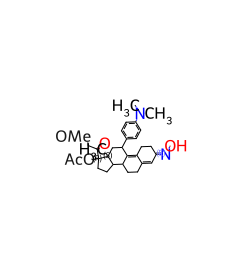 COCC(=O)[C@@]1(OC(C)=O)CCC2C3CCC4=C/C(=N/O)CCC4=C3C(c3ccc(N(C)C)cc3)C[C@@]21C